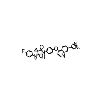 CN(C(=O)C1(C(=O)Nc2ccc(Oc3ccnc4cc(-c5cnn(C)c5)ccc34)cc2)CC1)c1ccc(F)cc1